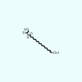 CCCCCCCCC=CCCCCCCCCCCCCCC(=O)NC(CC)CO